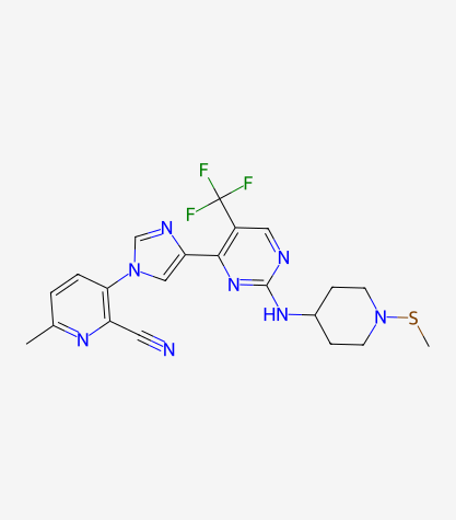 CSN1CCC(Nc2ncc(C(F)(F)F)c(-c3cn(-c4ccc(C)nc4C#N)cn3)n2)CC1